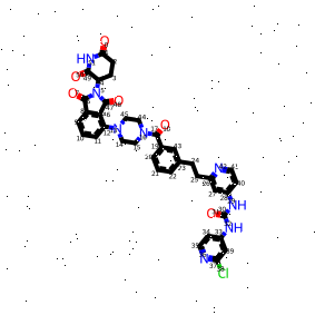 O=C1CCC(N2C(=O)c3cccc(N4CCN(C(=O)c5cccc(CCc6cc(NC(=O)Nc7ccnc(Cl)c7)ccn6)c5)CC4)c3C2=O)C(=O)N1